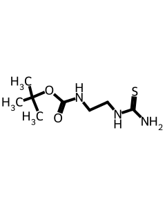 CC(C)(C)OC(=O)NCCNC(N)=S